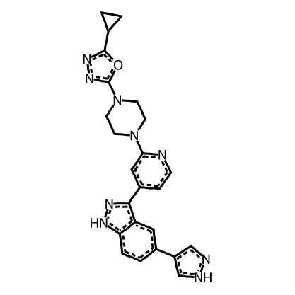 c1cc(-c2n[nH]c3ccc(-c4cn[nH]c4)cc23)cc(N2CCN(c3nnc(C4CC4)o3)CC2)n1